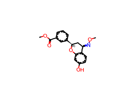 CON=C1C[C@H](c2cccc(C(=O)OC)c2)Oc2cc(O)ccc21